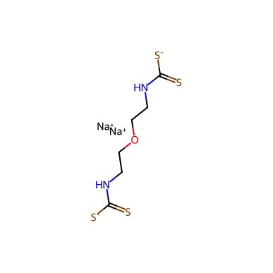 S=C([S-])NCCOCCNC(=S)[S-].[Na+].[Na+]